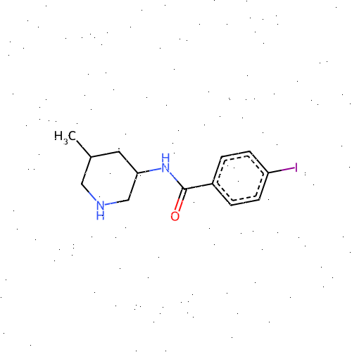 CC1[CH]C(NC(=O)c2ccc(I)cc2)CNC1